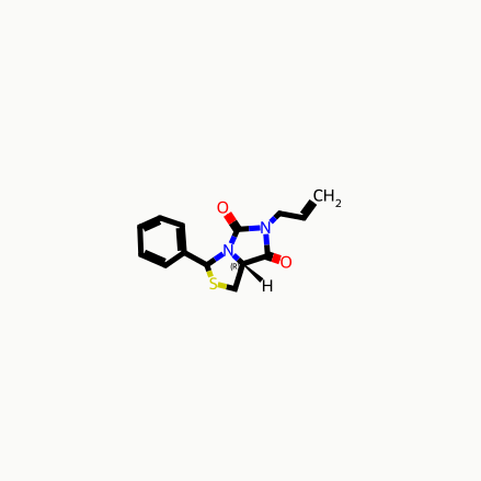 C=CCN1C(=O)[C@@H]2CSC(c3ccccc3)N2C1=O